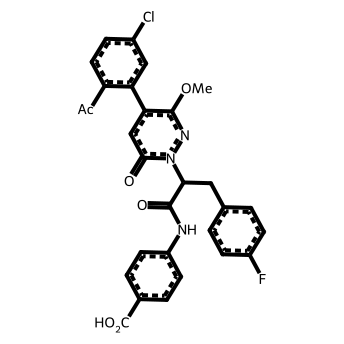 COc1nn(C(Cc2ccc(F)cc2)C(=O)Nc2ccc(C(=O)O)cc2)c(=O)cc1-c1cc(Cl)ccc1C(C)=O